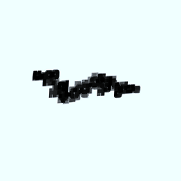 COC(=O)NCCC(=O)Pc1ncc(-c2ccc3c(c2)Cc2cc(-c4ccc5nc(PC(=O)CCNC(=O)OC)[nH]c5c4)ccc2-3)[nH]1